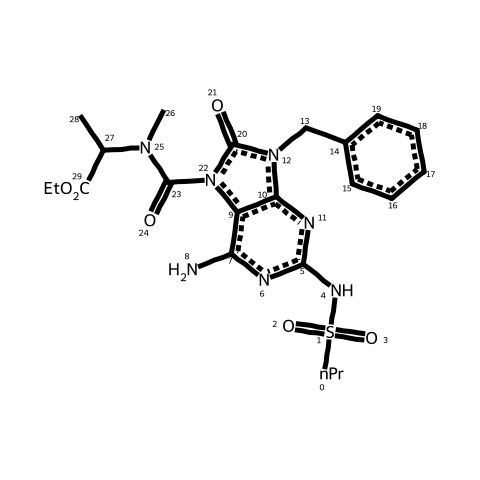 CCCS(=O)(=O)Nc1nc(N)c2c(n1)n(Cc1ccccc1)c(=O)n2C(=O)N(C)C(C)C(=O)OCC